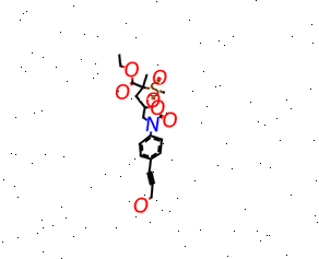 CCOC(=O)C(C)(CC1CN(c2ccc(C#CCOC)cc2)C(=O)O1)S(C)(=O)=O